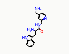 NCc1ccnc(CNC(=O)C(N)Cc2c[nH]c3ccccc23)c1